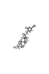 C[C@@]1(O)CC[C@@]2(F)[C@H](CC[C@H]3[C@@H]4CC[C@H](C(=O)COc5ccc(C#N)cc5F)[C@@]4(C)CC[C@@H]32)C1